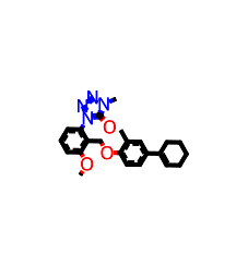 COc1cccc(-n2nnn(C)c2=O)c1COc1ccc(C2=CCCCC2)cc1C